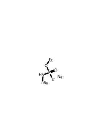 CCCCNP(=O)([S-])OCC.[Na+]